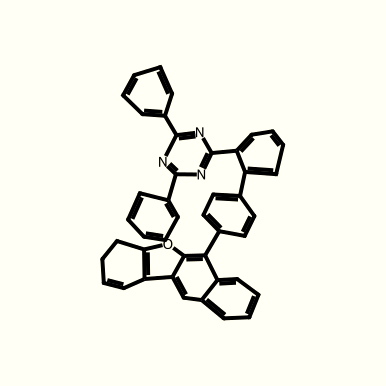 C1=Cc2c(oc3c(-c4ccc(-c5ccccc5-c5nc(-c6ccccc6)nc(-c6ccccc6)n5)cc4)c4ccccc4cc23)CC1